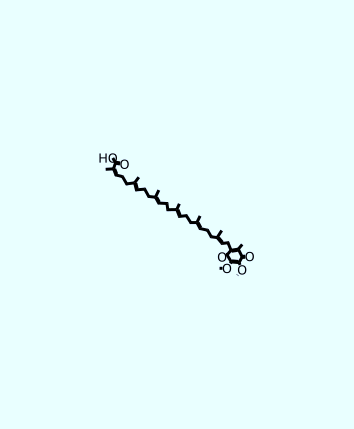 COC1=C(OC)C(=O)C(C/C=C(\C)CC/C=C(\C)CC/C=C(\C)CC/C=C(\C)CC/C=C(\C)CC/C=C(/C)C(=O)O)=C(C)C1=O